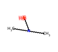 CCCCCCCCCCCCCCCCN(CCCCCCCCCCCCCCCC)CCCCCCCCCCCCOP(=O)(O)O